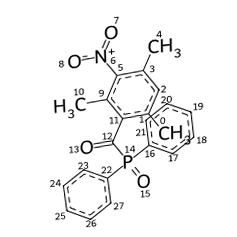 Cc1cc(C)c([N+](=O)[O-])c(C)c1C(=O)P(=O)(c1ccccc1)c1ccccc1